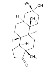 CCC[C@@]1(O)CC[C@@]2(C)[C@@H](CC[C@@H]3[C@@H]2CC[C@]2(C)C(=O)CC[C@@H]32)C1